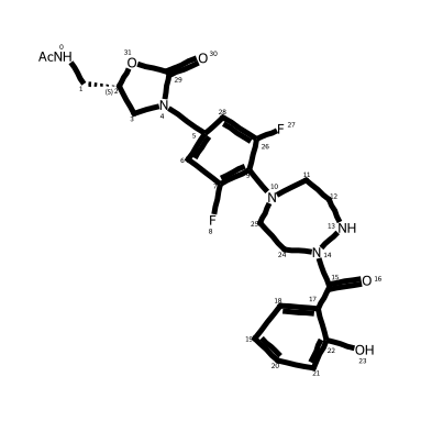 CC(=O)NC[C@H]1CN(c2cc(F)c(N3CCNN(C(=O)c4ccccc4O)CC3)c(F)c2)C(=O)O1